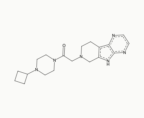 O=C(CN1CCc2c([nH]c3nccnc23)C1)N1CCN(C2CCC2)CC1